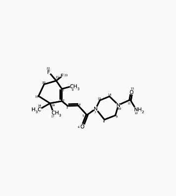 CC1=C(/C=C/C(=O)N2CCN(C(N)=O)CC2)C(C)(C)CCC1(F)F